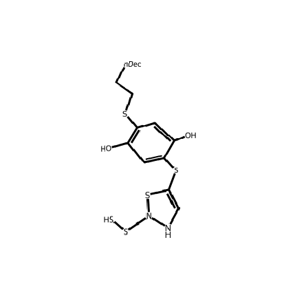 CCCCCCCCCCCCSc1cc(O)c(SC2=CNN(SS)S2)cc1O